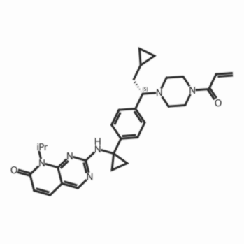 C=CC(=O)N1CCN([C@@H](CC2CC2)c2ccc(C3(Nc4ncc5ccc(=O)n(C(C)C)c5n4)CC3)cc2)CC1